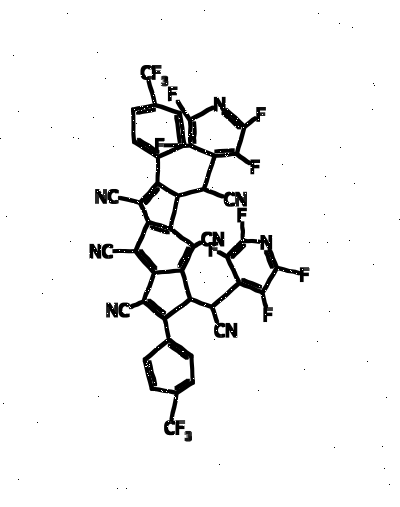 N#CC1=C(c2ccc(C(F)(F)F)cc2)C(C(C#N)c2c(F)c(F)nc(F)c2F)c2c(C#N)c3c(c(C#N)c21)C(C#N)=C(c1ccc(C(F)(F)F)cc1)C3C(C#N)c1c(F)c(F)nc(F)c1F